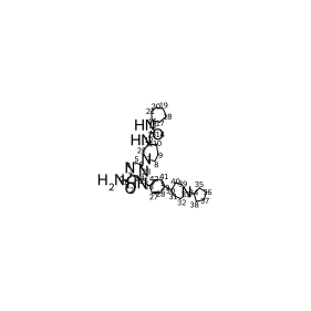 NC(=O)c1ncc(N2CCCC(NC(=O)NC3CCCCC3)C2)nc1Nc1ccc(C2CCN(C3CCCC3)CC2)cc1